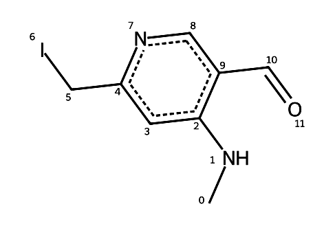 CNc1cc(CI)ncc1C=O